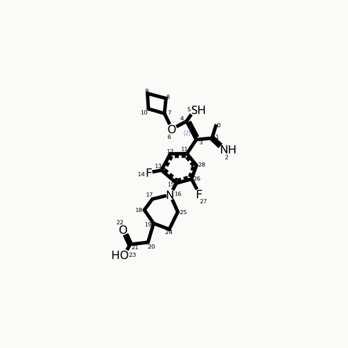 CC(=N)/C(=C(\S)OC1CCC1)c1cc(F)c(N2CCC(CC(=O)O)CC2)c(F)c1